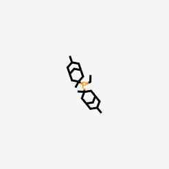 CCP(C1(C)CC2CC(C)CC(C2)C1)C1(C)CC2CC(C)CC(C2)C1